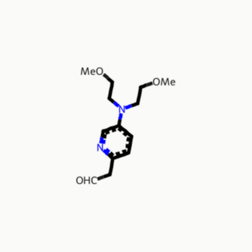 COCCN(CCOC)c1ccc(CC=O)nc1